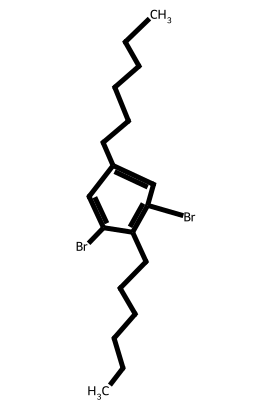 CCCCCCc1cc(Br)c(CCCCCC)c(Br)c1